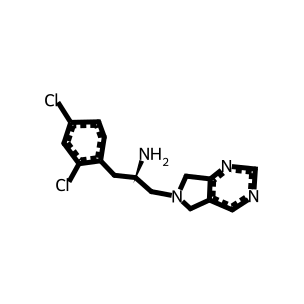 N[C@H](Cc1ccc(Cl)cc1Cl)CN1Cc2cncnc2C1